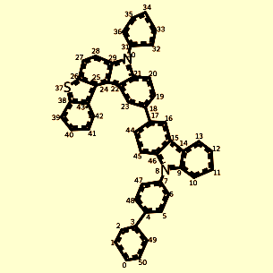 c1ccc(-c2ccc(-n3c4ccccc4c4cc(-c5ccc6c(c5)c5c7c(ccc5n6-c5ccccc5)sc5ccccc57)ccc43)cc2)cc1